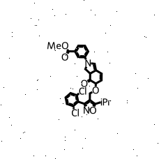 COC(=O)c1cccc(N2C=C3C=CC(OCc4c(-c5c(Cl)cccc5Cl)noc4C(C)C)C(=O)C3C2)c1